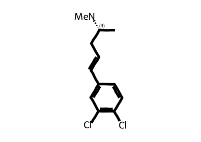 CN[C@H](C)CC=Cc1ccc(Cl)c(Cl)c1